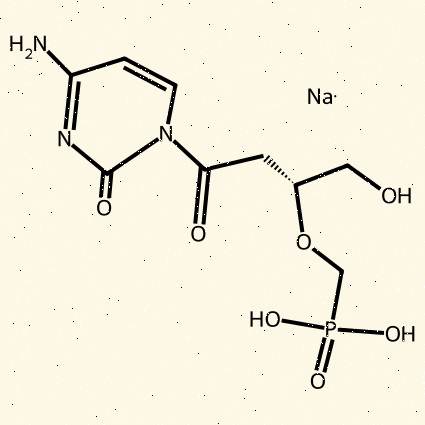 Nc1ccn(C(=O)C[C@H](CO)OCP(=O)(O)O)c(=O)n1.[Na]